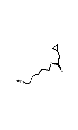 CCCCCCCCCCCCOC(=O)CC1CC1